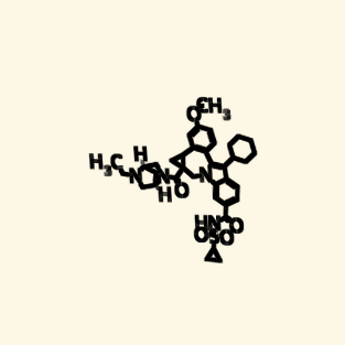 CCN1C[C@H]2C[C@@H]1CN2C(=O)C12CC1c1cc(OC)ccc1-c1c(C3CCCCC3)c3ccc(C(=O)NS(=O)(=O)C4CC4)cc3n1C2